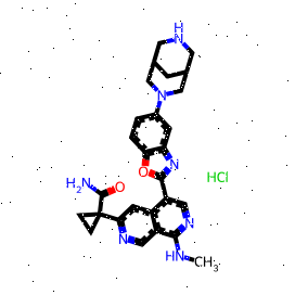 CNc1ncc(-c2nc3cc(N4CC5CNCC(C5)C4)ccc3o2)c2cc(C3(C(N)=O)CC3)ncc12.Cl